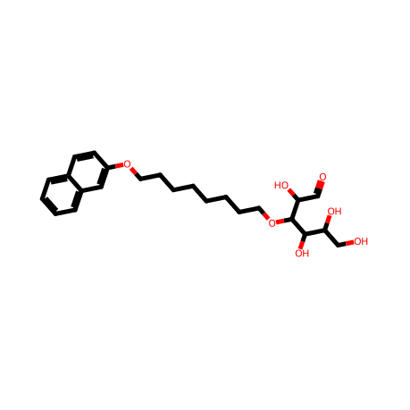 O=CC(O)C(OCCCCCCCCOc1ccc2ccccc2c1)C(O)C(O)CO